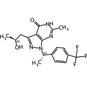 Cc1nc2c(c(C[C@H](C)O)nn2[C@@H](C)c2ccc(C(F)(F)F)cc2)c(=O)[nH]1